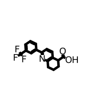 O=C(O)C1CCCc2nc(-c3cccc(C(F)(F)F)c3)ccc21